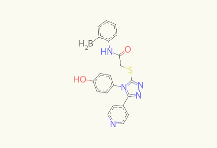 Bc1ccccc1NC(=O)CSc1nnc(-c2ccncc2)n1-c1ccc(O)cc1